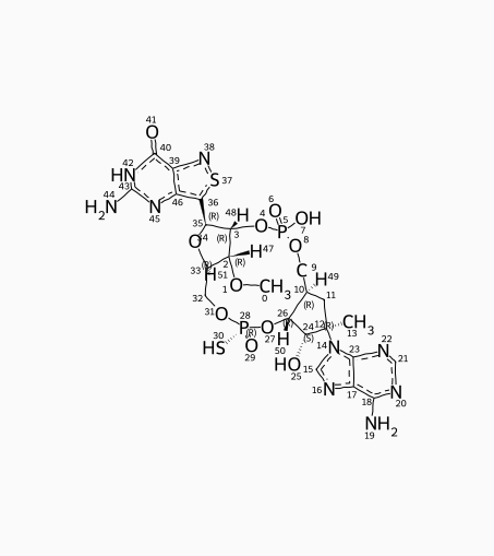 CO[C@H]1[C@H]2OP(=O)(O)OC[C@H]3C[C@@](C)(n4cnc5c(N)ncnc54)[C@H](O)[C@@H]3O[P@](=O)(S)OC[C@H]1O[C@H]2c1snc2c(=O)[nH]c(N)nc12